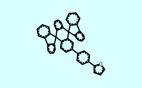 c1coc(-c2ccc(-c3ccc4c(c3)C3(c5ccccc5-c5ccccc53)c3ccccc3C43c4ccccc4-c4ccccc43)cc2)c1